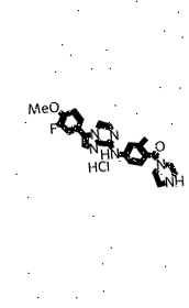 COc1ccc(-c2cnc3c(Nc4ccc(C(=O)N5CCNCC5)c(C)c4)nccn23)cc1F.Cl